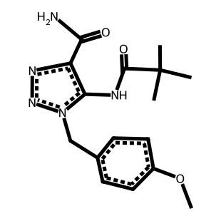 COc1ccc(Cn2nnc(C(N)=O)c2NC(=O)C(C)(C)C)cc1